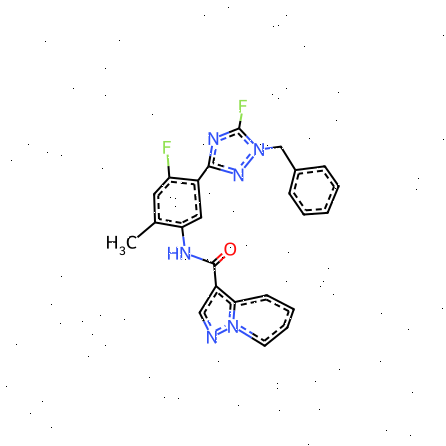 Cc1cc(F)c(-c2nc(F)n(Cc3ccccc3)n2)cc1NC(=O)c1cnn2ccccc12